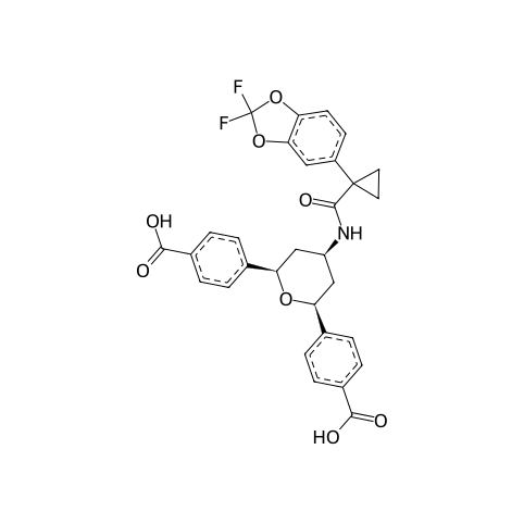 O=C(O)c1ccc([C@@H]2C[C@H](NC(=O)C3(c4ccc5c(c4)OC(F)(F)O5)CC3)C[C@H](c3ccc(C(=O)O)cc3)O2)cc1